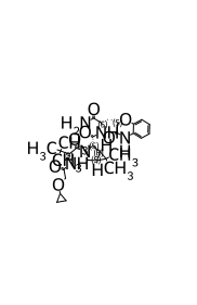 CC(C)(C)[C@H](NC(=O)COC1CC1)C(=O)N1C[C@H]2[C@@H]([C@H]1C(=O)N[C@@H](C[C@@H]1Oc3ccccc3NC1=O)C(N)=O)C2(C)C